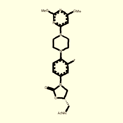 COc1cc(N2CCN(c3ccc(N4C[C@H](CNC(C)=O)OC4=O)cc3F)CC2)nc(OC)n1